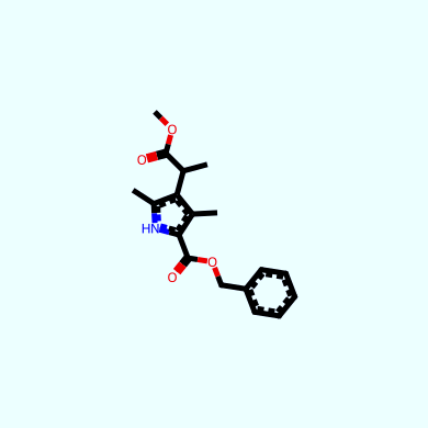 COC(=O)C(C)c1c(C)[nH]c(C(=O)OCc2ccccc2)c1C